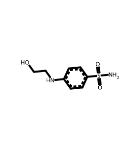 NS(=O)(=O)c1ccc(NCCO)cc1